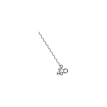 CCCCCCCCCCCCCCCCCCCCOC(=S)c1ccccc1O